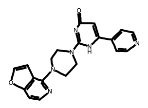 O=c1cc(-c2ccncc2)[nH]c(N2CCN(c3nccc4occc34)CC2)n1